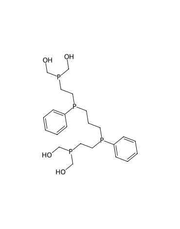 OCP(CO)CCP(CCCP(CCP(CO)CO)c1ccccc1)c1ccccc1